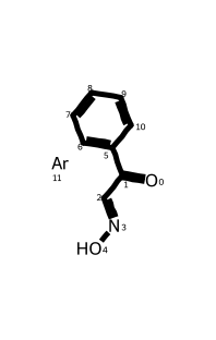 O=C(C=NO)c1ccccc1.[Ar]